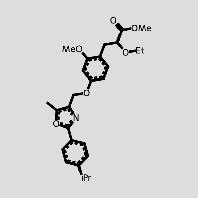 CCOC(Cc1ccc(OCc2nc(-c3ccc(C(C)C)cc3)oc2C)cc1OC)C(=O)OC